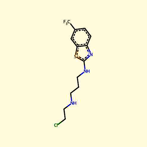 FC(F)(F)c1ccc2nc(NCCCNCCCl)sc2c1